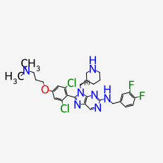 CN(C)CCCOc1cc(Cl)c(-c2nc3cnc(NCc4ccc(F)c(F)c4)nc3n2C[C@@H]2CCCNC2)c(Cl)c1